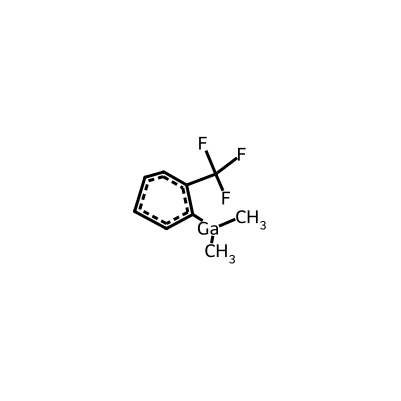 [CH3][Ga]([CH3])[c]1ccccc1C(F)(F)F